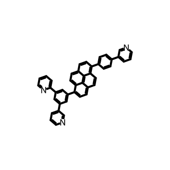 c1ccc(-c2cc(-c3cccnc3)cc(-c3ccc4ccc5c(-c6ccc(-c7cccnc7)cc6)ccc6ccc3c4c65)c2)nc1